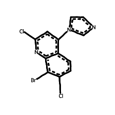 Clc1cc(-n2ccnc2)c2ccc(Cl)c(Br)c2n1